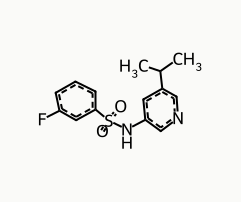 CC(C)c1cncc(NS(=O)(=O)c2cccc(F)c2)c1